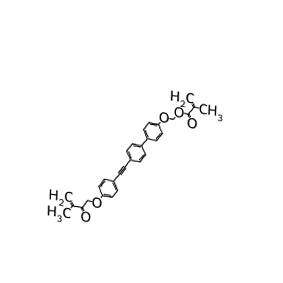 C=C(C)C(=O)COc1ccc(C#Cc2ccc(-c3ccc(OCOC(=O)C(=C)C)cc3)cc2)cc1